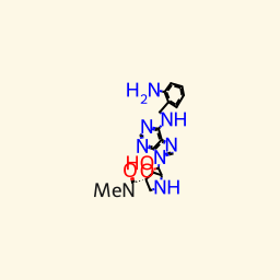 CNC(=O)[C@@]12CNC(C1O)[C@H](n1cnc3c(NCc4ccccc4N)ncnc31)O2